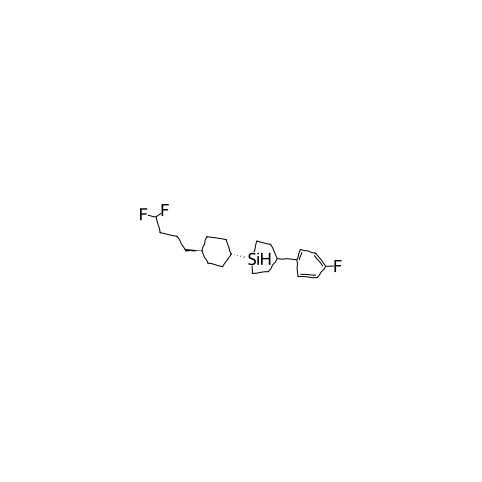 Fc1ccc(C2CC[SiH]([C@H]3CC[C@H](CCCC(F)F)CC3)CC2)cc1